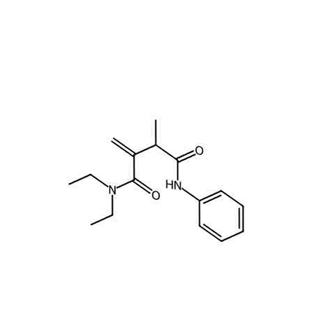 C=C(C(=O)N(CC)CC)C(C)C(=O)Nc1ccccc1